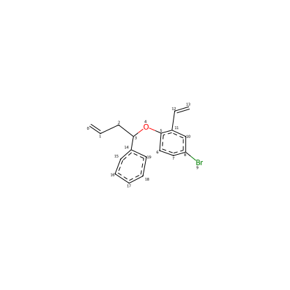 C=CCC(Oc1ccc(Br)cc1C=C)c1ccccc1